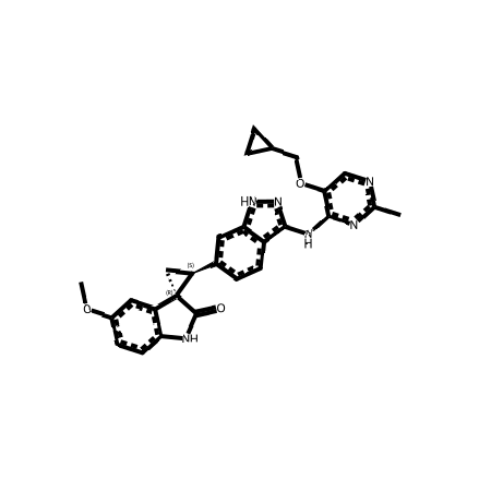 COc1ccc2c(c1)[C@]1(C[C@H]1c1ccc3c(Nc4nc(C)ncc4OCC4CC4)n[nH]c3c1)C(=O)N2